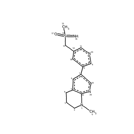 CN1CCCc2cc(-c3cncc(CS(C)(=N)=O)c3)cnc21